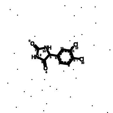 O=C1NC(=O)C(c2ccc(Cl)c(Cl)c2)N1